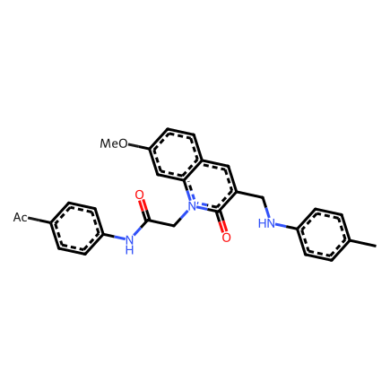 COc1ccc2cc(CNc3ccc(C)cc3)c(=O)n(CC(=O)Nc3ccc(C(C)=O)cc3)c2c1